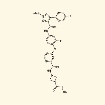 CSc1nc(C(=O)Nc2ccc(Oc3ccnc(C(=O)NC4CN(C(=O)OC(C)(C)C)C4)c3)c(F)c2)c(-c2ccc(F)cc2)o1